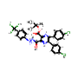 CC(C)(C)OC(=O)c1nc(-c2ccc(Cl)cc2)c(-c2ccc(Cl)cc2)nc1C(=O)NNc1ccc(C(F)(F)F)cc1